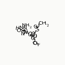 C=CCC(=O)SCCOP(=O)(COCCn1cnc2c(=O)[nH]c(N)nc21)OCc1cccc(F)c1